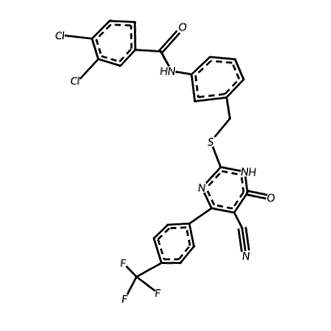 N#Cc1c(-c2ccc(C(F)(F)F)cc2)nc(SCc2cccc(NC(=O)c3ccc(Cl)c(Cl)c3)c2)[nH]c1=O